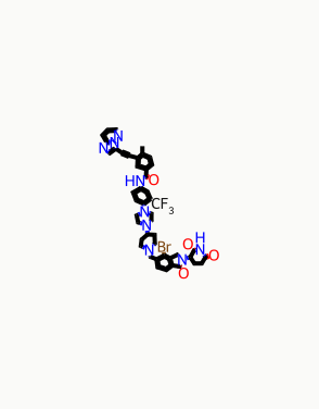 Cc1ccc(C(=O)Nc2ccc(N3CCN(C4CCN(Cc5ccc6c(c5Br)CN(C5CCC(=O)NC5=O)C6=O)CC4)CC3)c(C(F)(F)F)c2)cc1C#Cc1cnc2cccnn12